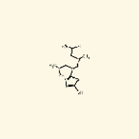 CCCCC(CC)CN(C)CN(CN(C)C)c1nnc(S)s1